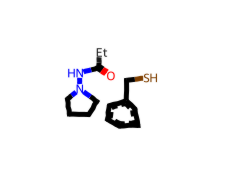 CCC(=O)NN1CCCC1.SCc1ccccc1